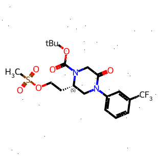 CC(C)(C)OC(=O)N1CC(=O)N(c2cccc(C(F)(F)F)c2)C[C@@H]1CCOS(C)(=O)=O